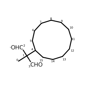 CC([C]=O)(C=O)C1CCCCCCCCCCC1